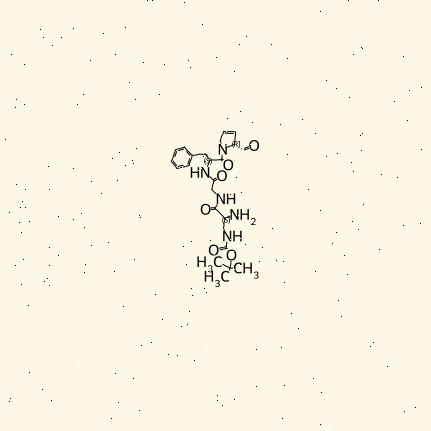 CC(C)(C)OC(=O)NC[C@H](N)C(=O)NCC(=O)N[C@@H](Cc1ccccc1)C(=O)N1CC=C[C@@H]1C=O